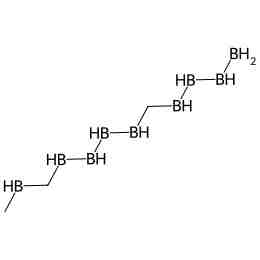 BBBBCBBBBCBC